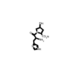 NC(Cc1c[nH]cn1)C(=O)N1CC(O)CC1C(=O)O